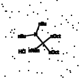 CCCCCCCCCC(CCCCCCCC)(CCCCCCCC)N(CCCC)CCCC.Cl